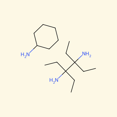 CCC(N)(CC)C(N)(CC)CC.NC1CCCCC1